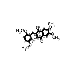 COc1ccc(OC)c(CC2=C(C)C(=O)c3cc(OC)c(OC)cc3C2=O)c1